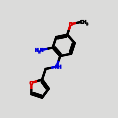 COc1ccc(NCc2ccco2)c(N)c1